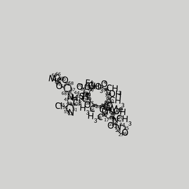 CC[C@H]1OC(=O)[C@H](C)[C@@H](O)[C@H](C)[C@@H](O[C@@H]2O[C@H](C)C[C@H](N(C)C(=O)N3CCOCC3)[C@H]2O)[C@](C)(OC)C[C@@H](C)C(=O)[C@H](C)[C@H]2[C@H](SCCN(Cc3c(Cl)cncc3Cl)c3ccc(OC)c(OC4CCCC4)c3)C(=O)O[C@@]21C